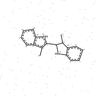 Cc1c(C2Nc3ccccc3C2C)[nH]c2ccccc12